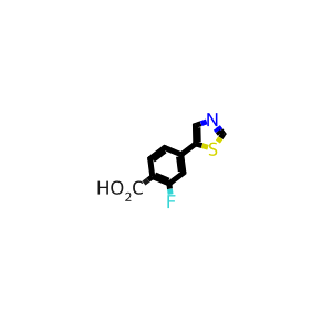 O=C(O)c1ccc(-c2cncs2)cc1F